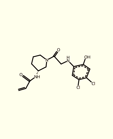 C=CC(=O)N[C@@H]1CCCN(C(=O)CNc2cc(Cl)c(Cl)cc2O)C1